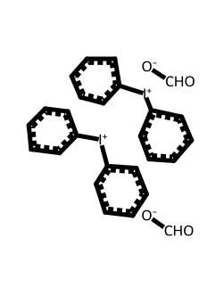 O=C[O-].O=C[O-].c1ccc([I+]c2ccccc2)cc1.c1ccc([I+]c2ccccc2)cc1